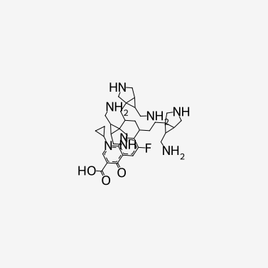 NCC1C2CNCC12CCC(CC(CC12CNCC1C2CN)C12CNCC1C2CN)c1nc2c(cc1F)c(=O)c(C(=O)O)cn2C1CC1